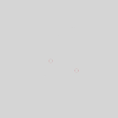 CC(C)(C)OC(=O)C1(C)[CH]C1